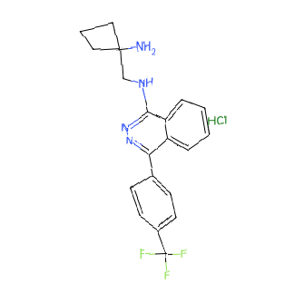 Cl.NC1(CNc2nnc(-c3ccc(C(F)(F)F)cc3)c3ccccc23)CCC1